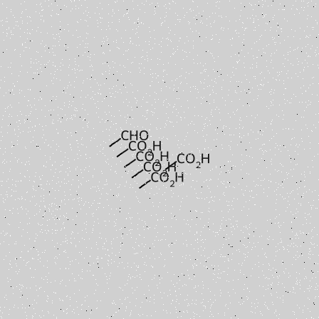 CC(=O)O.CC(=O)O.CC(=O)O.CC(=O)O.CC(=O)O.CC=O